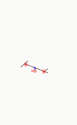 CCCCCCCCC(CCCCCC)C(=O)OCCCCCCCCCCCCN(CCCCO)CCCCCCCCCCCCOC(=O)C(CCCCC)CCCCCC